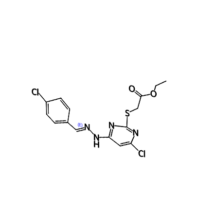 CCOC(=O)CSc1nc(Cl)cc(N/N=C/c2ccc(Cl)cc2)n1